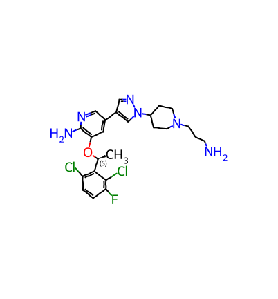 C[C@H](Oc1cc(-c2cnn(C3CCN(CCCN)CC3)c2)cnc1N)c1c(Cl)ccc(F)c1Cl